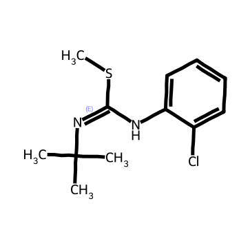 CS/C(=N/C(C)(C)C)Nc1ccccc1Cl